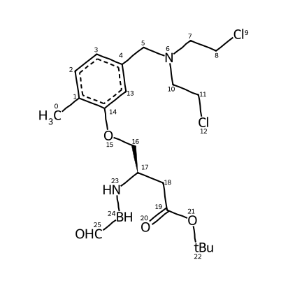 Cc1ccc(CN(CCCl)CCCl)cc1OC[C@@H](CC(=O)OC(C)(C)C)NBC=O